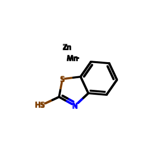 Sc1nc2ccccc2s1.[Mn].[Zn]